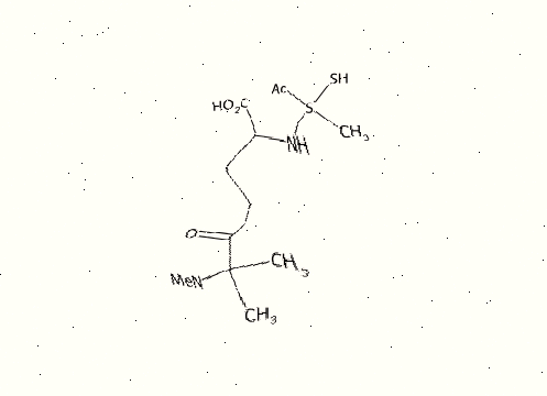 CNC(C)(C)C(=O)CCC(NS(C)(S)C(C)=O)C(=O)O